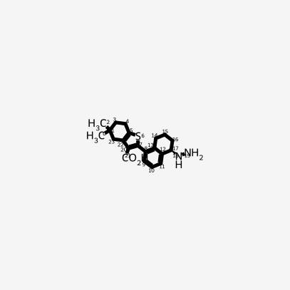 CC1(C)CCc2sc(-c3cccc4c3CCC[C@H]4NN)c(C(=O)O)c2C1